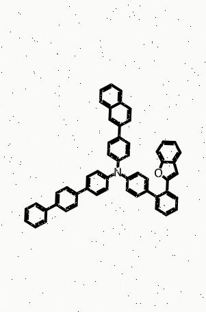 c1ccc(-c2ccc(-c3ccc(N(c4ccc(-c5ccc6ccccc6c5)cc4)c4ccc(-c5ccccc5-c5cc6ccccc6o5)cc4)cc3)cc2)cc1